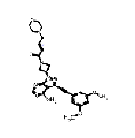 COc1cc(C#Cc2nn(C3CN(C(=O)/C=C/CN4CCOCC4)C3)c3ncnc(N)c23)cc(OC)c1